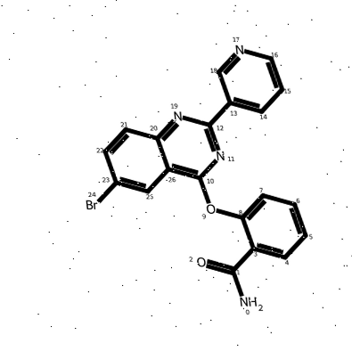 NC(=O)c1ccccc1Oc1nc(-c2cccnc2)nc2ccc(Br)cc12